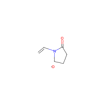 C=CN1CCCC1=O.[O]